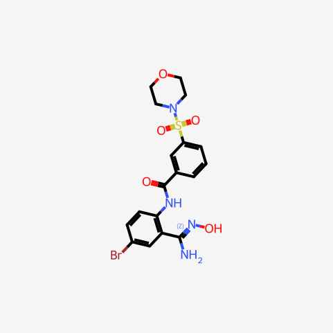 N/C(=N\O)c1cc(Br)ccc1NC(=O)c1cccc(S(=O)(=O)N2CCOCC2)c1